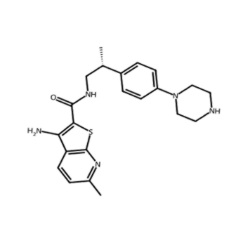 Cc1ccc2c(N)c(C(=O)NC[C@H](C)c3ccc(N4CCNCC4)cc3)sc2n1